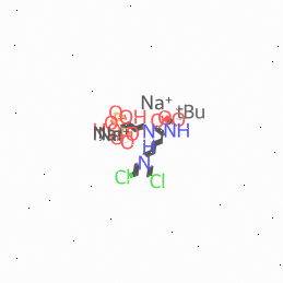 CC(C)(C)OC(=O)N[C@@H](CCCCN(CCCl)CCCl)C(=O)NCCCC(O)(P(=O)([O-])[O-])P(=O)([O-])O.[Na+].[Na+].[Na+]